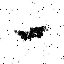 COC(=O)NC(C(=O)N1CCC[C@H]1c1ncc(-c2ccc3c(c2)cc2n3C(c3ccc(C(C)C)s3)Oc3cc(-c4cnc([C@@H]5CCCN5C(=O)[C@@H](NC(=O)OC)C(C)C)[nH]4)cc(F)c3-2)[nH]1)C1CCOC(C)(C)C1